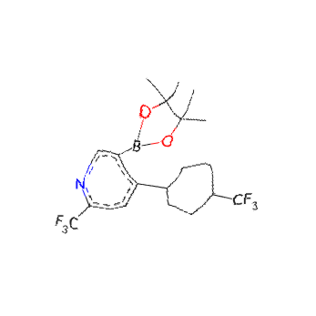 CC1(C)OB(c2cnc(C(F)(F)F)cc2C2CCC(C(F)(F)F)CC2)OC1(C)C